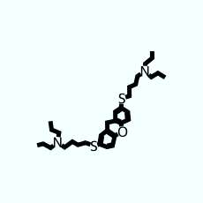 CCCN(CCC)CCCCSc1ccc2c(c1)Cc1cc(SCCCCN(CCC)CCC)ccc1O2